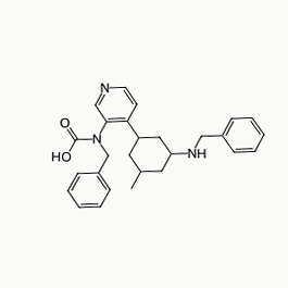 CC1CC(NCc2ccccc2)CC(c2ccncc2N(Cc2ccccc2)C(=O)O)C1